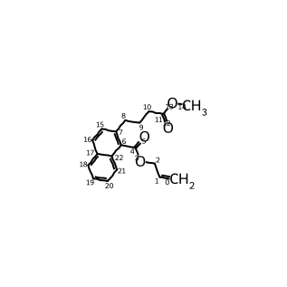 C=CCOC(=O)c1c(CCCC(=O)OC)ccc2ccccc12